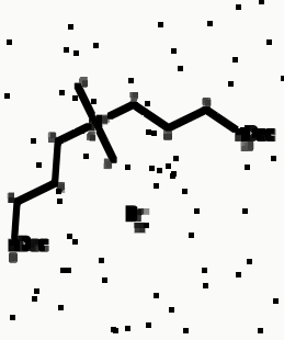 CCCCCCCCCCCCC[N+](C)(C)CCCCCCCCCCCCC.[Br-]